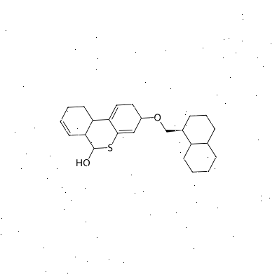 OC1SC2=CC(OC[C@H]3CCCC4CCCCC43)CC=C2C2CCC=CC12